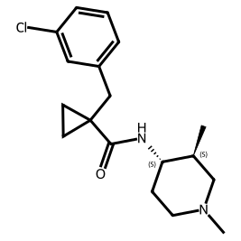 C[C@H]1CN(C)CC[C@@H]1NC(=O)C1(Cc2cccc(Cl)c2)CC1